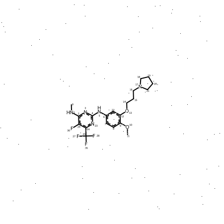 CNc1nc(Nc2ccc(OC)c(OCCCN3CCCC3)c2)nc(C(F)(F)F)c1F